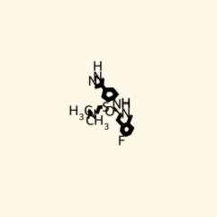 CN(C)CCSc1cc(-c2cn[nH]c2)ccc1NC(=O)[C@@H]1Cc2cc(F)ccc2CN1